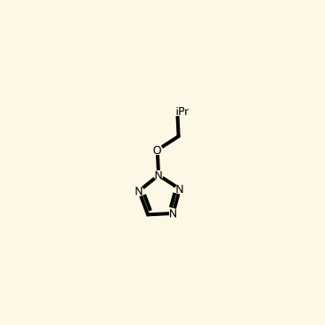 CC(C)COn1ncnn1